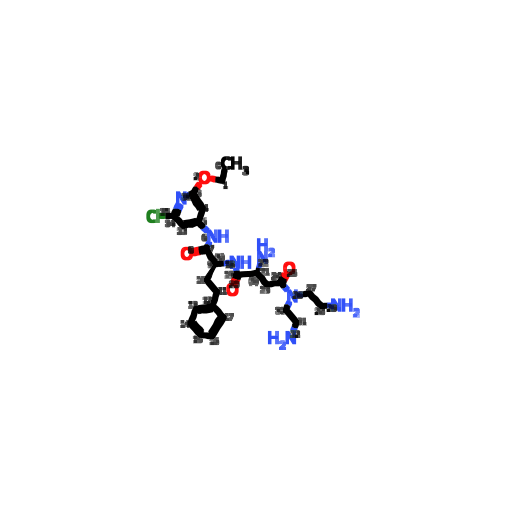 CCOc1cc(NC(=O)[C@H](CCc2ccccc2)NC(=O)[C@@H](N)CC(=O)N(CCN)CCN)cc(Cl)n1